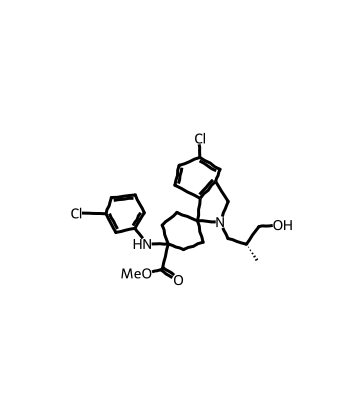 COC(=O)C1(Nc2cccc(Cl)c2)CCC2(CC1)c1ccc(Cl)cc1CN2C[C@@H](C)CO